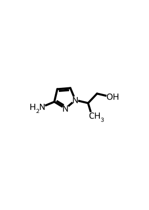 CC(CO)n1ccc(N)n1